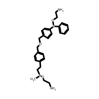 CB(CCc1ccc(COCc2ccc(B(OCCN)c3ccccc3)cc2)cc1)OCCN